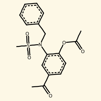 CC(=O)Oc1ccc(C(C)=O)cc1N(Cc1ccccc1)S(C)(=O)=O